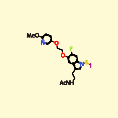 COc1ccc(OCCOc2cc3c(CCNC(C)=O)cn(SI)c3cc2F)cn1